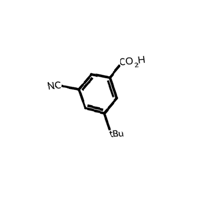 CC(C)(C)c1cc(C#N)cc(C(=O)O)c1